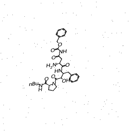 CCCCNC(=O)[C@@H]1CCCN1C(=O)C(O)C(Cc1ccccc1)NC(=O)[C@@H](N)CC(=O)NC(=O)OCc1ccccc1